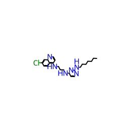 CCCCCCCNc1nccc(NCCCNc2ccnc3cc(Cl)ccc23)n1